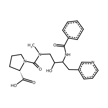 CN(CC(O)C(Cc1cccnc1)NC(=O)c1ccccc1)C(=O)N1CCC[C@H]1C(=O)O